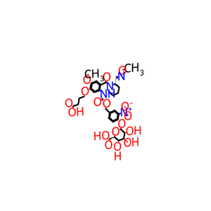 CON=C[C@@H]1CCCCN1C(=O)c1cc(OC)c(OCCCC(=O)O)cc1NC(=O)OCc1ccc(O[C@@H]2O[C@H](C(=O)O)[C@@H](O)[C@H](O)[C@H]2O)c([N+](=O)[O-])c1